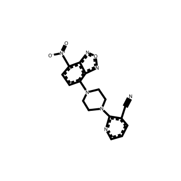 N#Cc1cccnc1N1CCN(c2ccc([N+](=O)[O-])c3nonc23)CC1